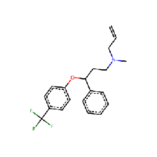 C=CCN(C)CCC(Oc1ccc(C(F)(F)F)cc1)c1ccccc1